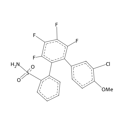 COc1ccc(-c2c(F)c(F)c(F)c(F)c2-c2ccccc2S(N)(=O)=O)cc1Cl